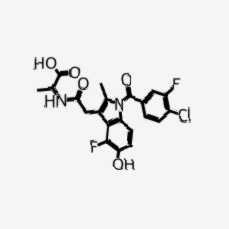 Cc1c(CC(=O)NC(C)C(=O)O)c2c(F)c(O)ccc2n1C(=O)c1ccc(Cl)c(F)c1